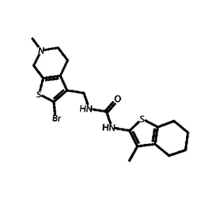 Cc1c(NC(=O)NCc2c(Br)sc3c2CCN(C)C3)sc2c1CCCC2